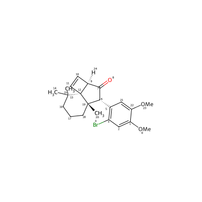 COc1cc(Br)c([C@H]2C(=O)[C@@H]3C=C[C@@]34C(C)(C)CCC[C@@]24C)cc1OC